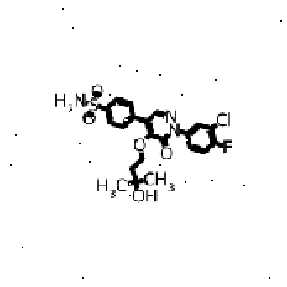 CC(C)(O)CCOc1c(-c2ccc(S(N)(=O)=O)cc2)cnn(-c2ccc(F)c(Cl)c2)c1=O